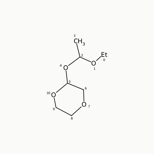 CCOC(C)OC1COCCO1